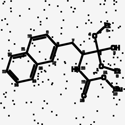 CCOC(O)(OCC)C(Cc1ccc2ccccc2c1)NC(=O)OC(C)(C)C